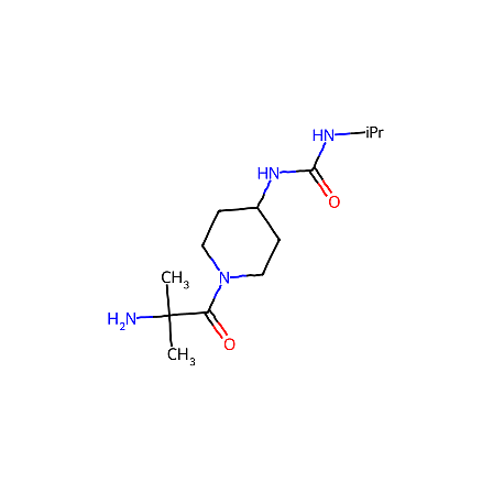 CC(C)NC(=O)NC1CCN(C(=O)C(C)(C)N)CC1